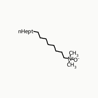 CCCCCCCCCCCCCCC[N+](C)(C)[O-]